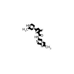 Cc1cn2cc(NC(=O)c3sc(N4CCNC(C)C4)cc3F)ncc2n1